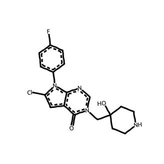 O=c1c2cc(Cl)n(-c3ccc(F)cc3)c2ncn1CC1(O)CCNCC1